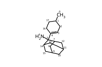 CC1CC=C(C2(N)C3CC4CC(C3)CC2C4)CC1